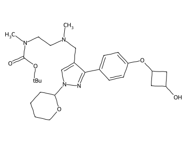 CN(CCN(C)C(=O)OC(C)(C)C)Cc1cn(C2CCCCO2)nc1-c1ccc(OC2CC(O)C2)cc1